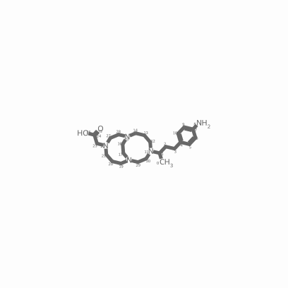 CC(CCc1ccc(N)cc1)N1CCCN2CCN(CCCN(CC(=O)O)CC2)CC1